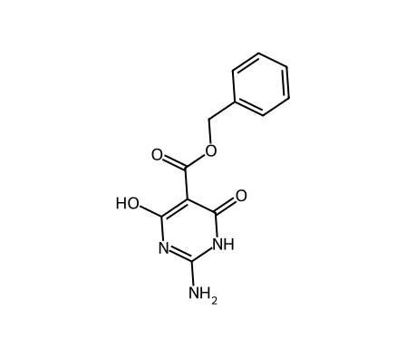 Nc1nc(O)c(C(=O)OCc2ccccc2)c(=O)[nH]1